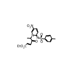 CCOC(=O)/C=C/C(=O)C(C)n1cc([N+](=O)[O-])ccc1=NS(=O)(=O)c1ccc(C)cc1